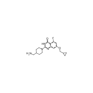 NCC1CCN(c2nc3cc(OCC4CC4)cc(F)c3c(=O)[nH]2)CC1